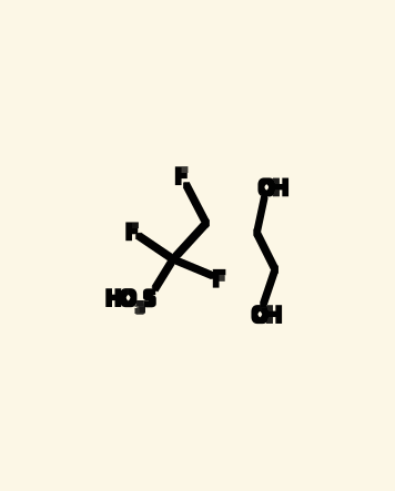 O=S(=O)(O)C(F)(F)CF.OCCO